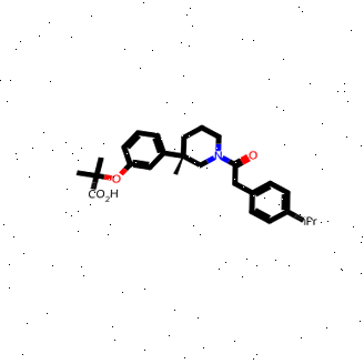 CC(C)c1ccc(CC(=O)N2CCC[C@@](C)(c3cccc(OC(C)(C)C(=O)O)c3)C2)cc1